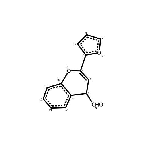 O=CC1C=C(c2ccco2)Oc2ccccc21